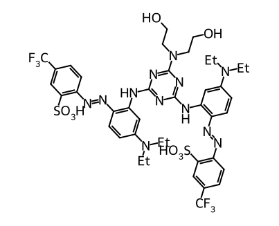 CCN(CC)c1ccc(/N=N/c2ccc(C(F)(F)F)cc2S(=O)(=O)O)c(Nc2nc(Nc3cc(N(CC)CC)ccc3/N=N/c3ccc(C(F)(F)F)cc3S(=O)(=O)O)nc(N(CCO)CCO)n2)c1